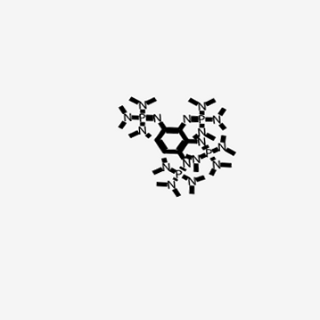 CN(C)P(=Nc1ccc(N=P(N(C)C)(N(C)C)N(C)C)c(N=P(N(C)C)(N(C)C)N(C)C)c1N=P(N(C)C)(N(C)C)N(C)C)(N(C)C)N(C)C